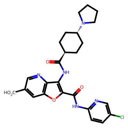 O=C(O)c1cnc2c(NC(=O)[C@H]3CC[C@H](N4CCCC4)CC3)c(C(=O)Nc3ccc(Cl)cn3)oc2c1